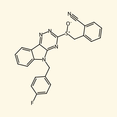 N#Cc1ccccc1C[S+]([O-])c1nnc2c3ccccc3n(Cc3ccc(F)cc3)c2n1